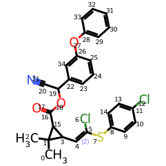 CC1(C)C(/C=C(\Cl)Sc2ccc(Cl)cc2)C1C(=O)OC(C#N)c1cccc(Oc2ccccc2)c1